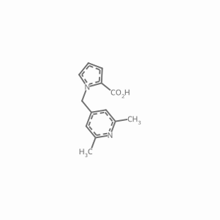 Cc1cc(Cn2cccc2C(=O)O)cc(C)n1